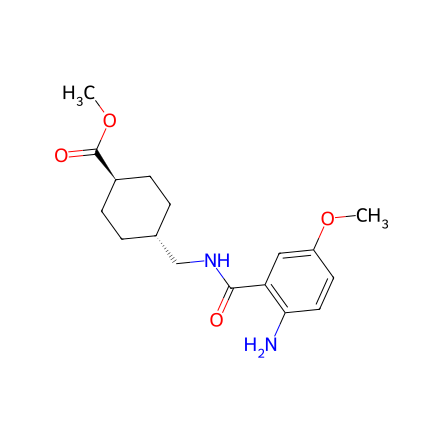 COc1ccc(N)c(C(=O)NC[C@H]2CC[C@H](C(=O)OC)CC2)c1